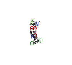 CN1CC(OC(=O)c2ccc3nc(-c4cc(Cl)cc(Cl)c4)oc3c2)CC(F)(F)C1